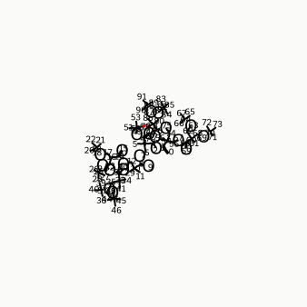 C=C(OCC(C)(COC(=O)C(C)(COC(=O)C(COC(C)(C)C)COC(C)(C)C)COC(=O)C(C)(COC(C)(C)C)COC(C)(C)C)C(=O)OC(C)(C)C)C(C)(COC(=O)C(C)(COC(C)(C)C)COC(C)(C)C)COC(=O)C(C)(COC(C)(C)C)COC(C)(C)C